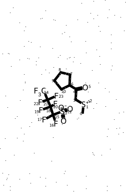 C[S+](C)CC(=O)C1CCCC1.O=S(=O)([O-])C(F)(F)C(F)(F)C(F)(F)C(F)(F)F